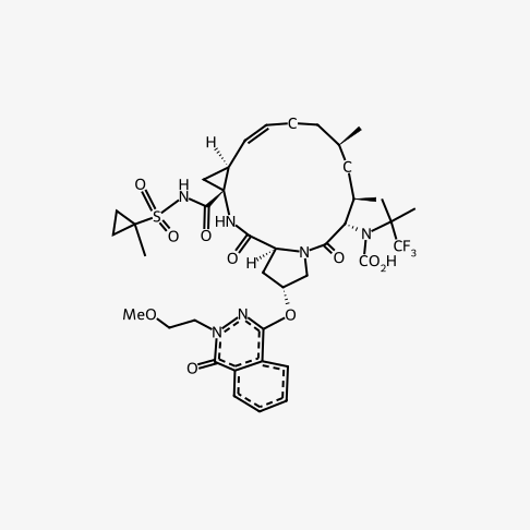 COCCn1nc(O[C@@H]2C[C@H]3C(=O)N[C@]4(C(=O)NS(=O)(=O)C5(C)CC5)C[C@H]4/C=C\CC[C@@H](C)C[C@@H](C)[C@H](N(C(=O)O)C(C)(C)C(F)(F)F)C(=O)N3C2)c2ccccc2c1=O